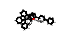 N=C(/C=C\C(=N)C1C#CC(c2ccccc2C2(C3=CCCCC3)c3ccccc3Oc3ccccc32)=CC1)c1ccccc1